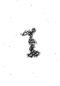 CC1(C)c2ccccc2-c2cc3c4cc(-c5c6ccccc6c(-c6ccc7c(c6)oc6cc8c9ccccc9c9ccc%10ccccc%10c9c8cc67)c6ccccc56)ccc4n(-c4ccccc4)c3cc21